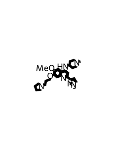 COc1cc2c(NC3CCN(C)CC3)cc(-c3ccn(C)n3)nc2cc1OCCCN1CCCC1